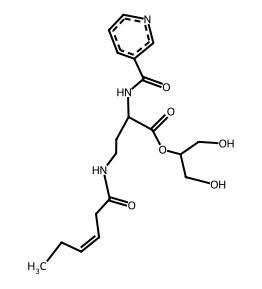 CC/C=C\CC(=O)NCCC(NC(=O)c1cccnc1)C(=O)OC(CO)CO